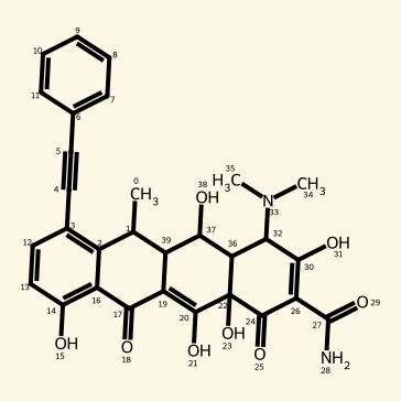 CC1c2c(C#Cc3ccccc3)ccc(O)c2C(=O)C2=C(O)C3(O)C(=O)C(C(N)=O)=C(O)C(N(C)C)C3C(O)C21